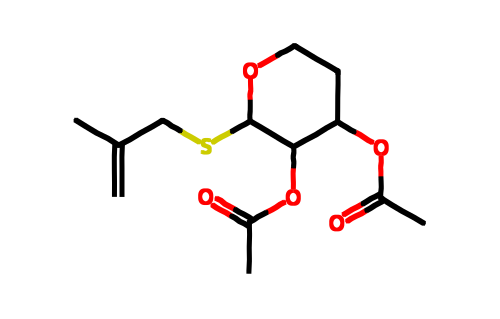 C=C(C)CSC1OCCC(OC(C)=O)C1OC(C)=O